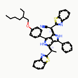 CCCCC(CC)COc1ccc(-c2[nH]/c(=C(/C)c3nc4ccccc4s3)c3c(-c4ccccc4)[nH]/c(=C(/C#N)c4nc5ccccc5s4)c23)cc1